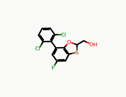 OCC1Oc2c(cc(F)cc2-c2c(Cl)cccc2Cl)S1